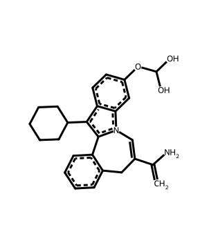 C=C(N)C1=Cn2c(c(C3CCCCC3)c3ccc(OC(O)O)cc32)-c2ccccc2C1